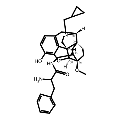 CO[C@]12CC[C@@]3(C[C@@H]1CNC(=O)C(N)Cc1ccccc1)[C@H]1Cc4ccc(O)c5c4[C@@]3(CCN1CC1CC1)[C@H]2O5